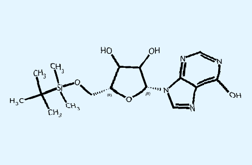 CC(C)(C)[Si](C)(C)OC[C@H]1O[C@@H](n2cnc3c(O)ncnc32)C(O)C1O